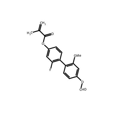 C=C(C)C(=O)Oc1ccc(-c2ccc(OC=O)cc2OC)c(F)c1